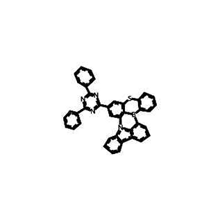 c1ccc(-c2nc(-c3ccccc3)nc(-c3cc4c5c(c3)-n3c6ccccc6c6cccc(c63)B5c3ccccc3S4)n2)cc1